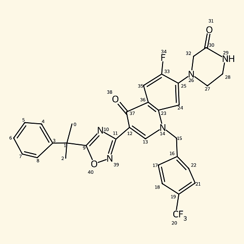 CC(C)(c1ccccc1)c1nc(-c2cn(Cc3ccc(C(F)(F)F)cc3)c3cc(N4CCNC(=O)C4)c(F)cc3c2=O)no1